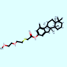 CCCOCCOCCSCC(=O)Oc1cc(C)c2c(c1)C[C@H]1[C@@]3(C)CCCC(C)(C)[C@@H]3CC[C@]21C